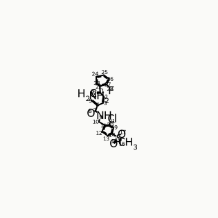 C=C(/C=C\C(=C/N)C(=O)NCc1ccc(S(C)(=O)=O)cc1Cl)c1ccccc1F